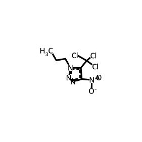 CCCn1nnc([N+](=O)[O-])c1C(Cl)(Cl)Cl